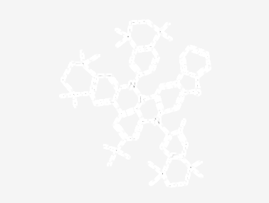 Cc1cc2c(cc1N1c3cc4sc5ccccc5c4cc3B3c4c(cc(C(C)(C)C)cc41)-c1cc4c(cc1N3c1ccc3c(c1)C(C)(C)CCC3(C)C)C(C)(C)CCC4(C)C)C(C)(C)CCC2(C)C